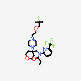 CCC(=O)N(CC1(N2CCN(CCOCC(C)(C)F)CC2)CCOCC1)c1cccc(C(F)(F)F)n1